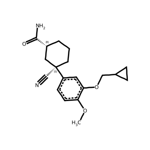 COc1ccc([C@]2(C#N)CCC[C@@H](C(N)=O)C2)cc1OCC1CC1